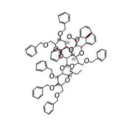 CCS[C@H]1OC(COCc2ccccc2)[C@@H](OCc2ccccc2)[C@H](OCc2ccccc2)C1O[C@H]1OC(COCc2ccccc2)[C@H](OCc2ccccc2)[C@H](OCc2ccccc2)C1O[C@H]1OC(COCc2ccccc2)[C@@H](OCc2ccccc2)[C@H](OCc2ccccc2)C1OC(C)=O